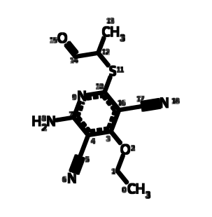 CCOc1c(C#N)c(N)nc(SC(C)C=O)c1C#N